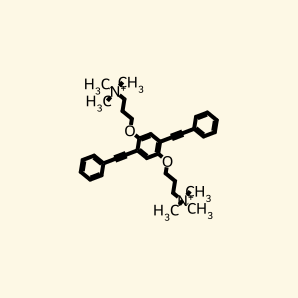 C[N+](C)(C)CCCOc1cc(C#Cc2ccccc2)c(OCCC[N+](C)(C)C)cc1C#Cc1ccccc1